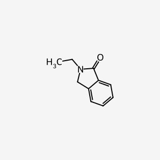 CCN1Cc2ccccc2C1=O